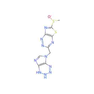 C[S+]([O-])c1nc2nnc(Cn3cnc4c3N=NNN4)nc2s1